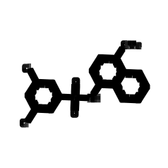 COc1ccc(NS(=O)(=O)c2cc(Cl)cc(Cl)c2)c2ccccc12